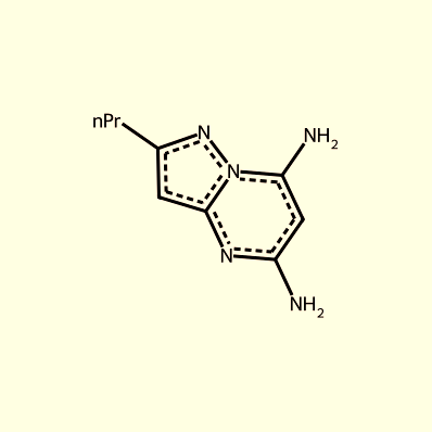 CCCc1cc2nc(N)cc(N)n2n1